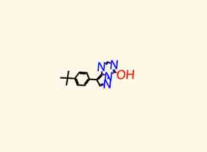 CC(C)(C)c1ccc(-c2cnn3c(O)ncnc23)cc1